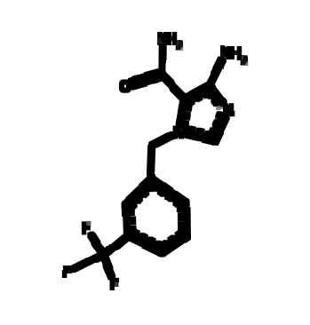 NC(=O)c1c(N)ncn1Cc1cccc(C(F)(F)F)c1